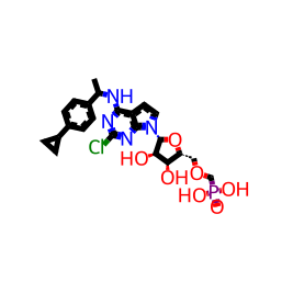 CC(Nc1nc(Cl)nc2c1ccn2[C@@H]1O[C@H](COCP(=O)(O)O)[C@@H](O)[C@H]1O)c1ccc(C2CC2)cc1